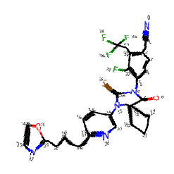 N#Cc1ccc(N2C(=O)C3(CCC3)N(c3ccc(CCCc4ncco4)nc3)C2=S)c(F)c1C(F)(F)F